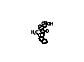 CCOc1ccc2ccccc2c1C=C1SC(=S)N(C(CC(=O)O)C(=O)O)C1=O